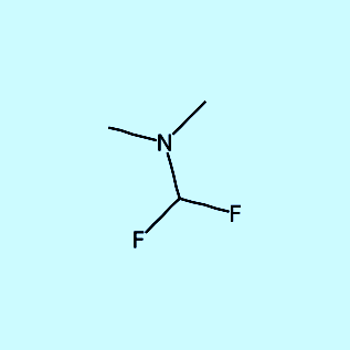 CN(C)C(F)F